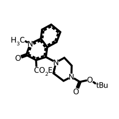 CCOC(=O)c1c(N2CCN(C(=O)OC(C)(C)C)CC2)c2ccccc2n(C)c1=O